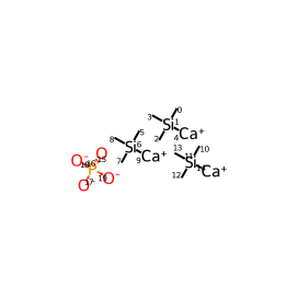 C[Si](C)(C)[Ca+].C[Si](C)(C)[Ca+].C[Si](C)(C)[Ca+].O=P([O-])([O-])[O-]